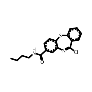 CCCCNC(=O)c1ccc2c(c1)N=C(Cl)c1ccccc1S2